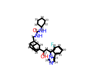 O=C(NCC1C2CC3CC1CC(C(O)CC1c4c(F)cccc4-c4cncn41)(C3)C2)NC1CCCCC1